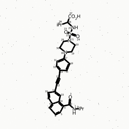 CC(C)NC(=O)c1cccc2ccc(C#Cc3ccc(N4CCN(S(=O)(=O)NC(C(=O)O)C(C)C)CC4)cc3)cc12